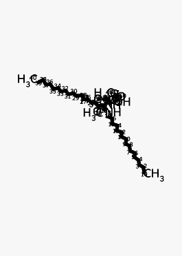 CCCCCCCCCCCCCCCCCCNC(C)C1(C(=O)CCCCCCCCCCCCCCCCC)NCCN1C.COS(=O)(=O)O